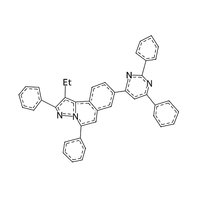 CCc1c(-c2ccccc2)nn2c(-c3ccccc3)cc3cc(-c4cc(-c5ccccc5)nc(-c5ccccc5)n4)ccc3c12